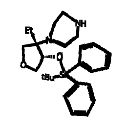 CC[C@]1(N2CCNCC2)COC[C@H]1O[Si](c1ccccc1)(c1ccccc1)C(C)(C)C